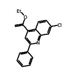 C=C(OCC)c1cc(-c2ccccc2)nc2cc(Cl)ccc12